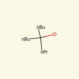 CCCCC([O])(CCC)CCCC